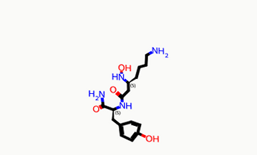 NCCCC[C@@H](CC(=O)N[C@@H](Cc1ccc(O)cc1)C(N)=O)NO